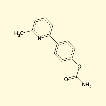 Cc1cccc(-c2ccc(OC(N)=O)cc2)n1